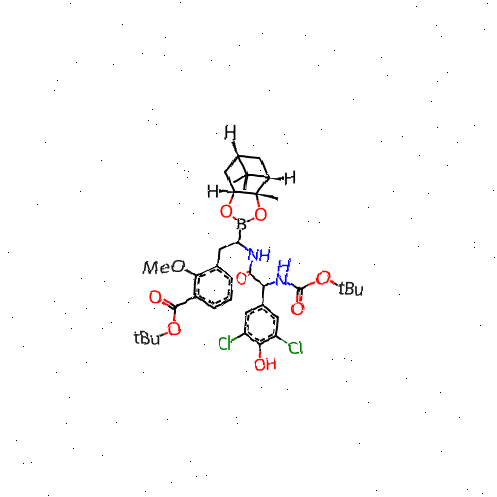 COc1c(CC(NC(=O)C(NC(=O)OC(C)(C)C)c2cc(Cl)c(O)c(Cl)c2)B2O[C@@H]3C[C@@H]4C[C@@H](C4(C)C)[C@]3(C)O2)cccc1C(=O)OC(C)(C)C